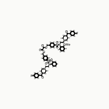 COc1ccccc1N(CCN1CCC(C(=O)c2ccc(F)cc2)CC1)S(=O)(=O)c1ccc(COC(=O)C(=O)OCc2ccc(S(=O)(=O)N(CCN3CCC(C(=O)c4ccc(F)cc4)CC3)c3ccccc3OC)cc2)cc1